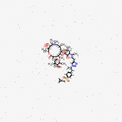 CC[C@H]1OC(=O)[C@H](C)C([C@H]2C[C@@](C)(OC)[C@@H](O)[C@H](C)O2)[C@H](C)[C@@H](O[C@@H]2O[C@H](C)C[C@H](N(C)CCc3cn([C@H](CF)Cc4ccc(S(=O)(=O)CC5CC5)cc4)nn3)[C@H]2O)[C@](C)(O)C[C@@H](C)CN(C)[C@H](C)[C@@H](O)[C@]1(C)O